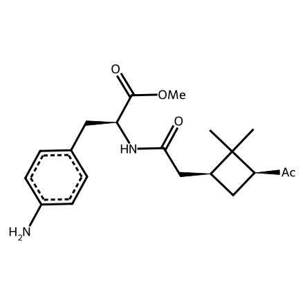 COC(=O)[C@H](Cc1ccc(N)cc1)NC(=O)C[C@@H]1C[C@H](C(C)=O)C1(C)C